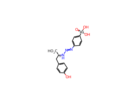 O=C(O)[C@H](Cc1ccc(O)cc1)NN=Nc1ccc([As](=O)(O)O)cc1